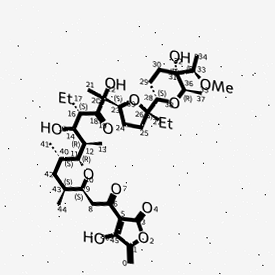 C=C1OC(=O)C(C(=O)C[C@@H]2O[C@@H]([C@H](C)C(O)[C@H](CC)C(=O)C(C)(O)[C@@H]3CC[C@@](CC)([C@@H]4CC[C@@](O)([C@@H](C)OC)[C@@H](C)O4)O3)[C@@H](C)C[C@@H]2C)=C1O